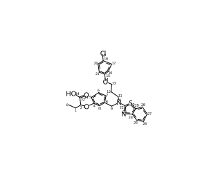 CCC(Oc1cccc(CN(CCCOc2ccc(Cl)cc2)c2nc3ccccc3s2)c1)C(=O)O